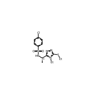 CCSc1nnc([C@@H](C)NS(=O)(=O)c2ccc(Cl)cc2)n1CC